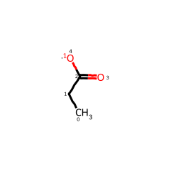 CCC(=O)[1O]